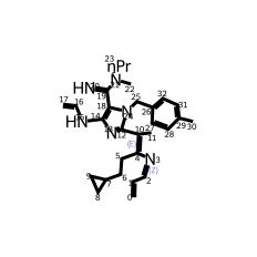 C=C/C=N\C(CCC1CC1)=C(/C)c1nc(NC=C)c(C(=N)N(C)CCC)n1Cc1ccc(C)cc1